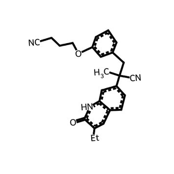 CCc1cc2ccc(C(C)(C#N)Cc3cccc(OCCCC#N)c3)cc2[nH]c1=O